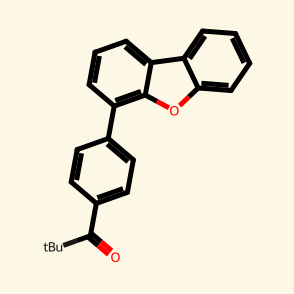 CC(C)(C)C(=O)c1ccc(-c2cccc3c2oc2ccccc23)cc1